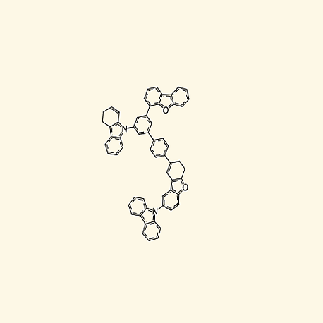 C1=Cc2c(c3ccccc3n2-c2cc(-c3ccc(C4=Cc5c(oc6ccc(-n7c8ccccc8c8ccccc87)cc56)CC4)cc3)cc(-c3cccc4c3oc3ccccc34)c2)CC1